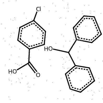 O=C(O)c1ccc(Cl)cc1.OC(c1ccccc1)c1ccccc1